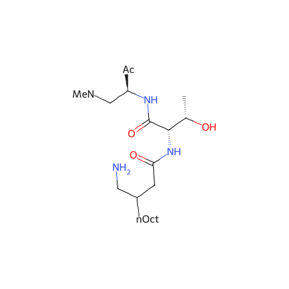 CCCCCCCCC(CN)CC(=O)N[C@H](C(=O)N[C@@H](CNC)C(C)=O)[C@H](C)O